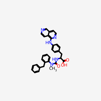 CN(C(=O)NC(Cc1ccc(Nc2nccc3cnccc23)cc1)C(=O)O)c1ccccc1Cc1ccccc1